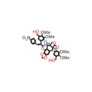 COc1cc(/C(=C\c2ccc([N+](=O)[O-])cc2)C(=O)N[C@@H]2c3cc4c(cc3[C@@H](c3cc(CO)c(OC)c(OC)c3)[C@H]3C(=O)OC[C@@H]32)OCO4)cc(CO)c1OC